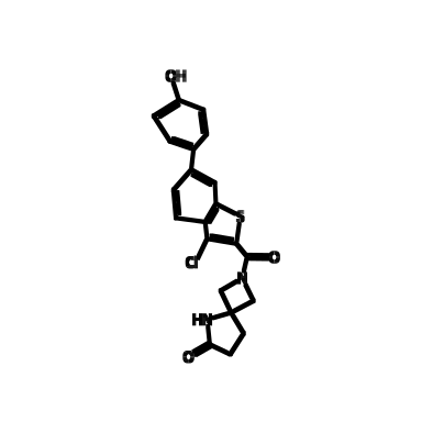 O=C1CCC2(CN(C(=O)c3sc4cc(-c5ccc(O)cc5)ccc4c3Cl)C2)N1